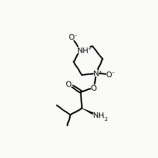 CC(C)[C@H](N)C(=O)O[N+]1([O-])CC[NH+]([O-])CC1